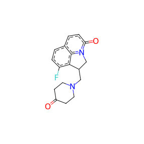 O=C1CCN(CC2Cn3c(=O)ccc4ccc(F)c2c43)CC1